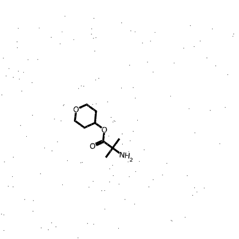 CC(C)(N)C(=O)OC1CCOCC1